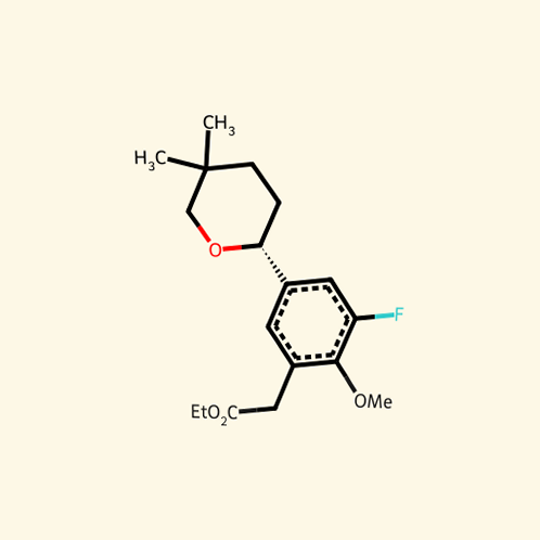 CCOC(=O)Cc1cc([C@H]2CCC(C)(C)CO2)cc(F)c1OC